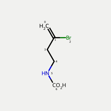 C=C(Br)CCNC(=O)O